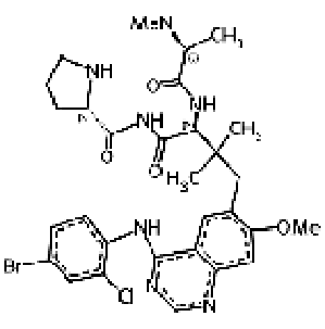 CN[C@@H](C)C(=O)N[C@H](C(=O)NC(=O)[C@@H]1CCCN1)C(C)(C)Cc1cc2c(Nc3ccc(Br)cc3Cl)ncnc2cc1OC